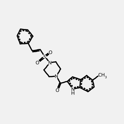 Cc1ccc2[nH]c(C(=O)N3CCN(S(=O)(=O)/C=C/c4ccccc4)CC3)cc2c1